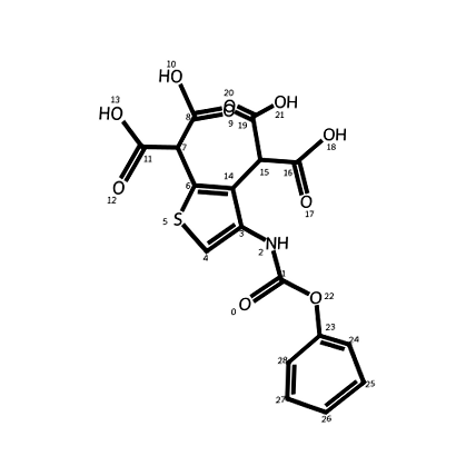 O=C(Nc1csc(C(C(=O)O)C(=O)O)c1C(C(=O)O)C(=O)O)Oc1ccccc1